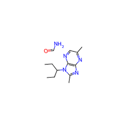 CCC(CC)n1c(C)nc2nc(C)cnc21.NC=O